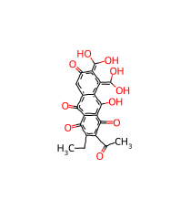 CCc1c(C(C)=O)c(=O)c2c(O)c3c(=C(O)O)c(=C(O)O)c(=O)cc-3c(=O)c=2c1=O